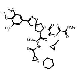 CCOc1c(C)cc(C2=NO[C@]3(C2)C[C@@H](C(=O)N[C@@H](CC2CC2)C(=O)C(=O)NC)N(C(=O)[C@@H](NC(=O)C2C[C@H]2C2CCCCC2)C(C)(C)C)C3)cc1C